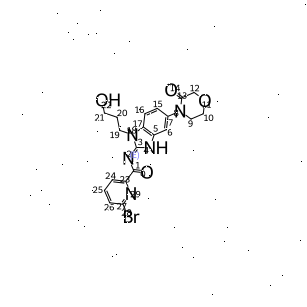 O=C(/N=c1\[nH]c2cc(N3CCOCC3=O)ccc2n1CCCO)c1cccc(Br)n1